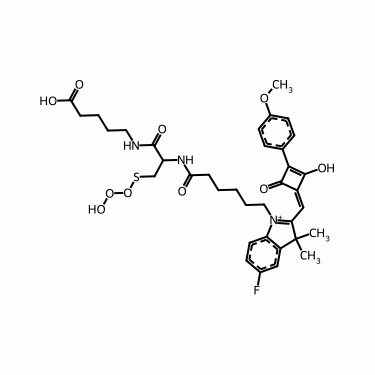 COc1ccc(C2=C(O)/C(=C/C3=[N+](CCCCCC(=O)NC(CSOOO)C(=O)NCCCCC(=O)O)c4ccc(F)cc4C3(C)C)C2=O)cc1